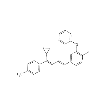 Fc1ccc(C=CC=C(c2ccc(C(F)(F)F)cc2)C2CC2)cc1Oc1ccccc1